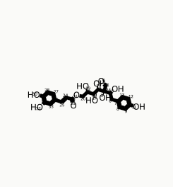 O=C[C@@](O)(C(O)Cc1ccc(O)cc1)[C@@H](O)[C@H](O)[C@H](O)COC(=O)C=Cc1ccc(O)c(O)c1